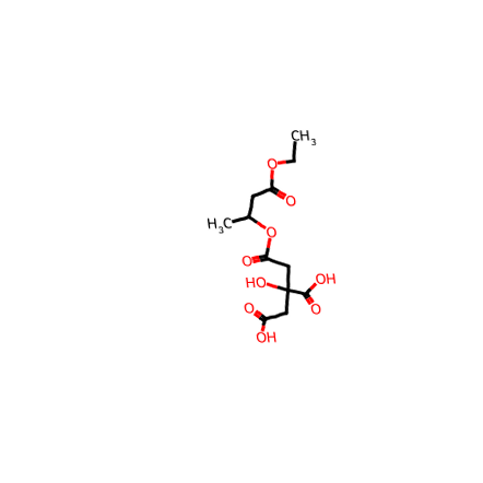 CCOC(=O)CC(C)OC(=O)CC(O)(CC(=O)O)C(=O)O